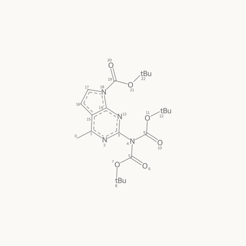 Cc1nc(N(C(=O)OC(C)(C)C)C(=O)OC(C)(C)C)nc2c1ccn2C(=O)OC(C)(C)C